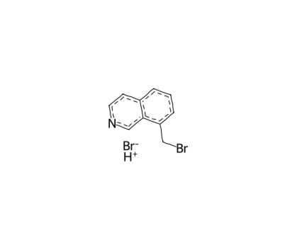 BrCc1cccc2ccncc12.[Br-].[H+]